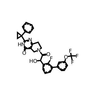 O=C(C(O)c1cccc(-c2cccc(OC(F)(F)F)c2)c1F)N1CCc2nc(C3(c4ccccc4)CC3)[nH]c(=O)c2C1